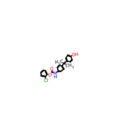 CC(C)(c1ccc(O)cc1)c1ccc(NC(=O)Oc2ccccc2Cl)cc1